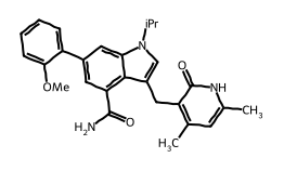 COc1ccccc1-c1cc(C(N)=O)c2c(Cc3c(C)cc(C)[nH]c3=O)cn(C(C)C)c2c1